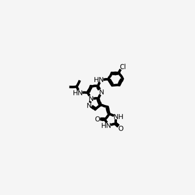 CC(C)Nc1cc(Nc2cccc(Cl)c2)nc2c(/C=C3/NC(=O)NC3=O)cnn12